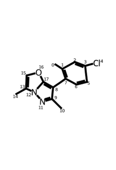 Cc1cc(Cl)ccc1-c1c(C)nn2c(C)coc12